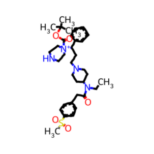 CCN(C(=O)Cc1ccc(S(C)(=O)=O)cc1)C1CCN(CCC(c2ccccc2)[N+]2(C(=O)OC(C)(C)C)CCNCC2)CC1